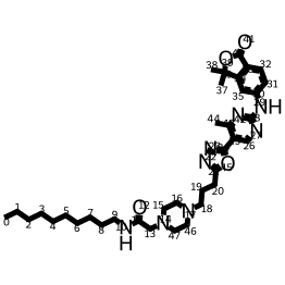 CCCCCCCCCCNC(=O)CN1CCN(CCCc2nnc(-c3cnc(Nc4ccc5c(c4)C(C)(C)OC5=O)nc3C)o2)CC1